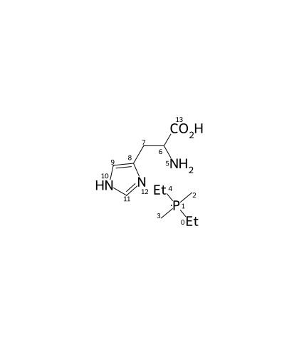 CC[P](C)(C)CC.NC(Cc1c[nH]cn1)C(=O)O